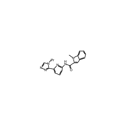 CC(C)n1cnnc1-c1cccc(NC(=O)c2cc3ccccc3n2C)n1